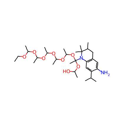 CCOC(C)OC(C)OC(C)OC(C)OC(C)OC(C)(OC(C)O)N1c2cc(C(C)C)c(N)cc2CC(C)C1(C)C